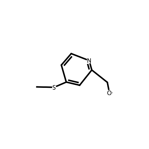 CSc1ccnc(C[O])c1